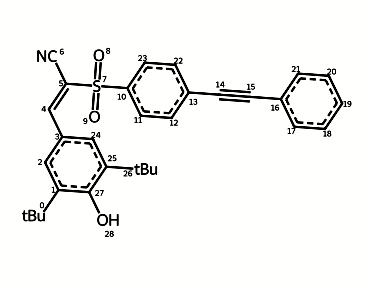 CC(C)(C)c1cc(/C=C(/C#N)S(=O)(=O)c2ccc(C#Cc3ccccc3)cc2)cc(C(C)(C)C)c1O